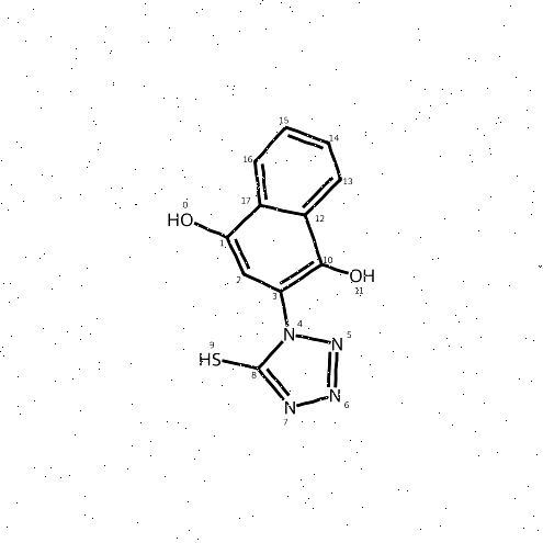 Oc1cc(-n2nnnc2S)c(O)c2ccccc12